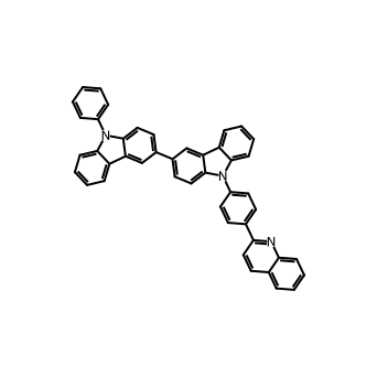 c1ccc(-n2c3ccccc3c3cc(-c4ccc5c(c4)c4ccccc4n5-c4ccc(-c5ccc6ccccc6n5)cc4)ccc32)cc1